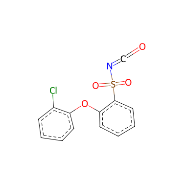 O=C=NS(=O)(=O)c1ccccc1Oc1ccccc1Cl